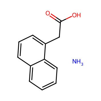 N.O=C(O)Cc1cccc2ccccc12